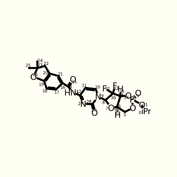 CC(C)OP1(=O)OC[C@H]2OC(n3ccc(NC(=O)c4ccc5c(c4)CC(C)(C)O5)nc3=O)C(F)(F)[C@@H]2O1